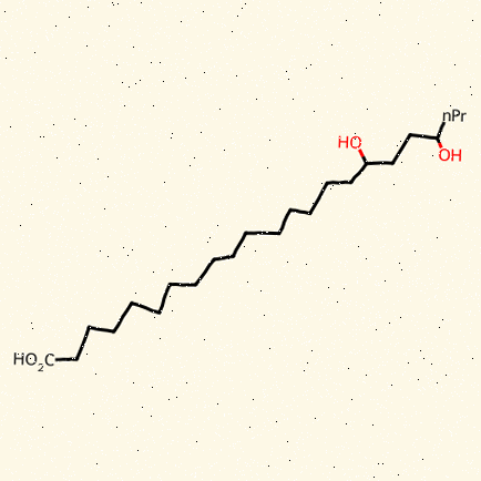 CCCC(O)CCC(O)CCCCCCCCCCCCCCCC(=O)O